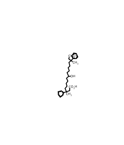 CC(CC=O)(CCCCCC(O)CCCCCC(C)(CC(=O)O)c1ccccc1)c1ccccc1